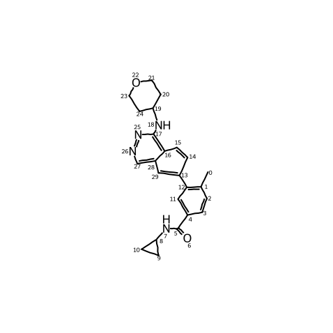 Cc1ccc(C(=O)NC2CC2)cc1-c1ccc2c(NC3CCOCC3)nncc2c1